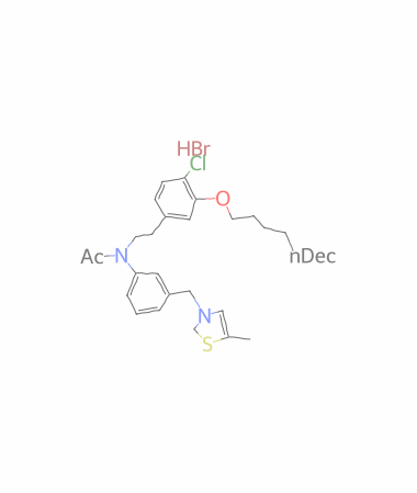 Br.CCCCCCCCCCCCCCOc1cc(CCN(C(C)=O)c2cccc(CN3C=C(C)SC3)c2)ccc1Cl